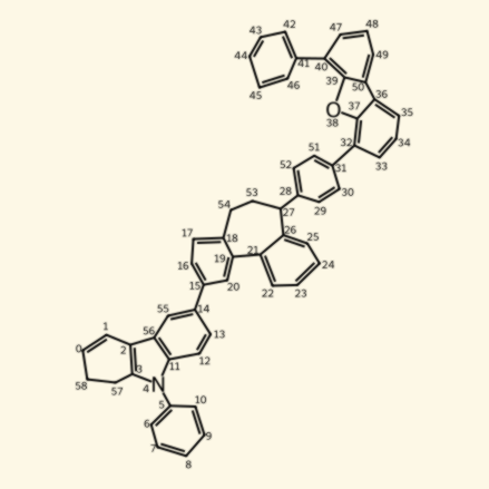 C1=Cc2c(n(-c3ccccc3)c3ccc(-c4ccc5c(c4)-c4ccccc4C(c4ccc(-c6cccc7c6oc6c(-c8ccccc8)cccc67)cc4)CC5)cc23)CC1